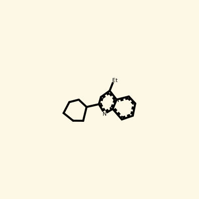 CCc1cc(C2CCCCC2)nc2ccccc12